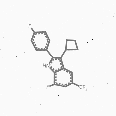 Fc1ccc(-c2[nH]c3c(F)cc(C(F)(F)F)cc3c2C2CCC2)cc1